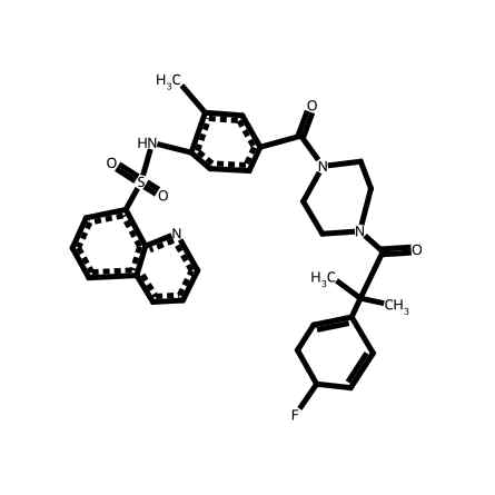 Cc1cc(C(=O)N2CCN(C(=O)C(C)(C)C3=CCC(F)C=C3)CC2)ccc1NS(=O)(=O)c1cccc2cccnc12